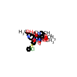 CC[C@]1(O)C[C@H]2CN(CCc3c([nH]c4ccc(SCc5ccccc5Cl)cc34)[C@@](C(=O)OC)(C3C=C4C(=CC3OC)N(C=O)[C@H]3[C@@](O)(C(=O)OC)[C@H](OC(C)=O)[C@]5(CC)C=CCN6CC[C@]43[C@@H]65)C2)C1